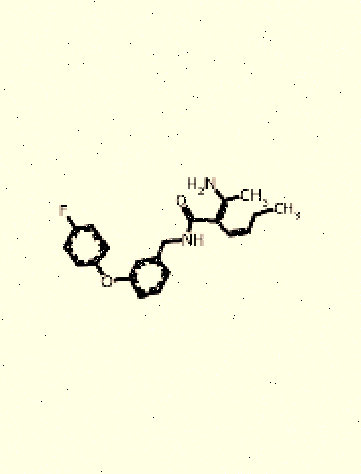 CC/C=C\C(C(=O)NCc1cccc(Oc2ccc(F)cc2)c1)=C(/C)N